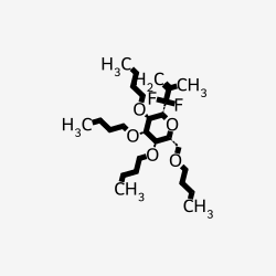 C=C(C)C(F)(F)[C@@H]1O[C@H](COCCCC)[C@H](OCCCC)[C@H](OCCCC)[C@H]1OCCCC